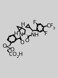 O=C(O)CS(=O)(=O)c1cccc(C(=O)N2[C@@H](C(=O)N[C@@H](c3cc(F)c(C(F)(F)F)cc3F)C3CC3)C[C@H]3C[C@H]32)c1